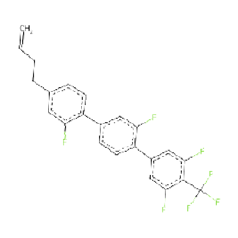 C=CCCc1ccc(-c2ccc(-c3cc(F)c(C(F)(F)F)c(F)c3)c(F)c2)c(F)c1